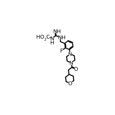 N=C(NCc1cccc(N2CCN(C(=O)CC3CCOCC3)CC2)c1F)NC(=O)O